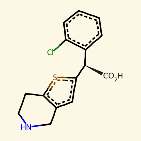 O=C(O)[C@@H](c1cc2c(s1)CCNC2)c1ccccc1Cl